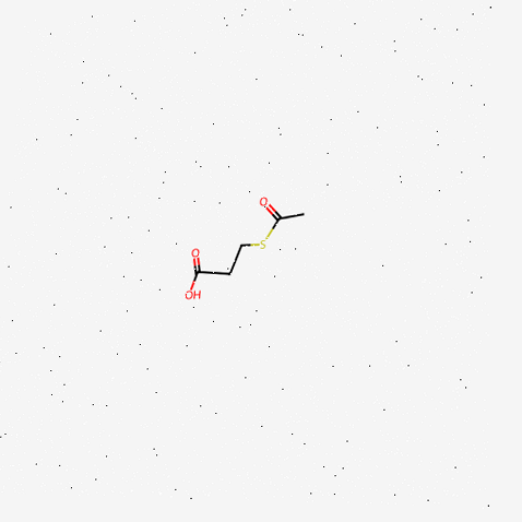 CC(=O)SCCC(=O)O